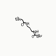 CC(C)(C)CC(=O)NCCCNC(=O)C(C)(C)C